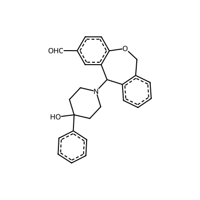 O=Cc1ccc2c(c1)C(N1CCC(O)(c3ccccc3)CC1)c1ccccc1CO2